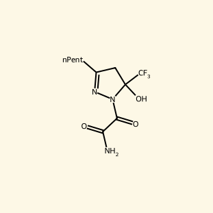 CCCCCC1=NN(C(=O)C(N)=O)C(O)(C(F)(F)F)C1